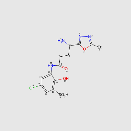 CCc1nnc(C(N)CCC(=O)Nc2cc(Cl)cc(S(=O)(=O)O)c2O)o1